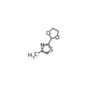 Cc1csc(C2OCCO2)n1